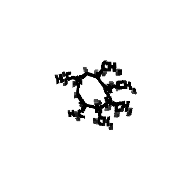 CC1CN(C)CC(C)N(C)N(C)N1C